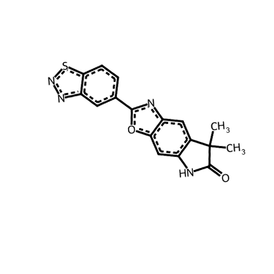 CC1(C)C(=O)Nc2cc3oc(-c4ccc5snnc5c4)nc3cc21